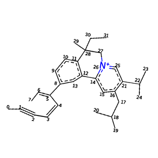 CC#C/C=C\C(=C/C)c1ccc2c(c1)-c1cc(CC(C)C)c(C(C)C)c[n+]1CC2(C)CC